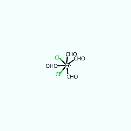 O=[CH][Fe]([Cl])([Cl])([CH]=O)([CH]=O)[CH]=O